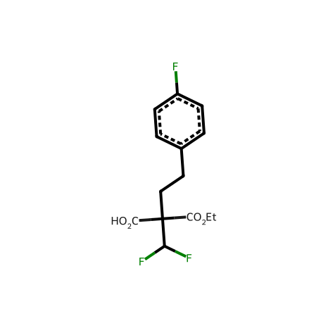 CCOC(=O)C(CCc1ccc(F)cc1)(C(=O)O)C(F)F